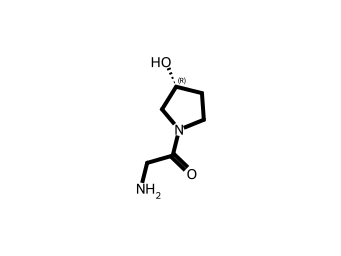 NCC(=O)N1CC[C@@H](O)C1